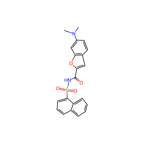 CN(C)c1ccc2cc(C(=O)NS(=O)(=O)c3cccc4ccccc34)oc2c1